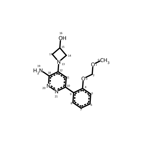 COCOc1ccccc1-c1cc(N2CC(O)C2)c(N)nn1